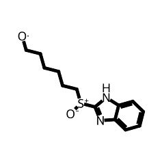 [O]CCCCCC[S+]([O-])c1nc2ccccc2[nH]1